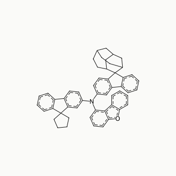 c1ccc2c(c1)-c1ccc(N(c3ccc4c(c3)-c3ccccc3C43C4CCC5CCC3CC(C5)C4)c3cccc4oc5ccccc5c34)cc1C21CCCC1